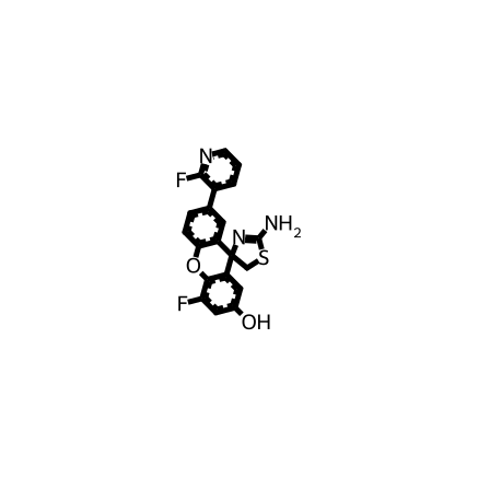 NC1=NC2(CS1)c1cc(-c3cccnc3F)ccc1Oc1c(F)cc(O)cc12